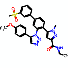 Cn1nc(C(=O)NCC(F)(F)F)cc1-c1ccc(-c2cccc(S(C)(=O)=O)c2)cc1-n1nncc1-c1ccc(OC(F)(F)F)cc1